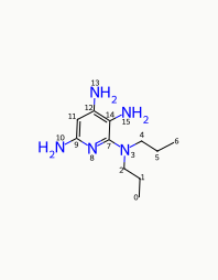 CCCN(CCC)c1nc(N)cc(N)c1N